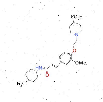 COc1cc(C=CC(=O)NC2CCC(C)CC2)ccc1OCCN1CCC(C(=O)O)CC1